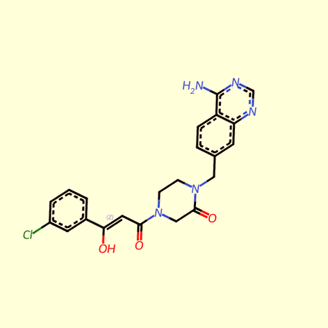 Nc1ncnc2cc(CN3CCN(C(=O)/C=C(\O)c4cccc(Cl)c4)CC3=O)ccc12